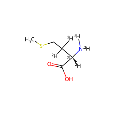 [2H]N([2H])[C@]([2H])(C(=O)O)C([2H])([2H])CSC